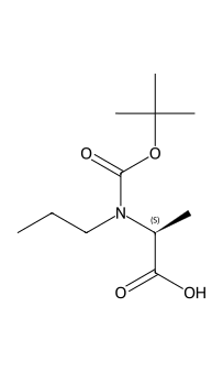 CCCN(C(=O)OC(C)(C)C)[C@@H](C)C(=O)O